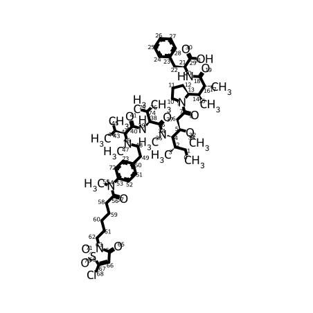 CC[C@H](C)[C@@H]([C@@H](CC(=O)N1CCC[C@H]1[C@H](C)[C@@H](C)C(=O)N[C@@H](Cc1ccccc1)C(=O)O)OC)N(C)C(=O)[C@@H](NC(=O)[C@H](C(C)C)N(C)CCc1ccc(N(C)C(=O)CCCCCN2C(=O)C=C(Cl)S2(=O)=O)cc1)C(C)C